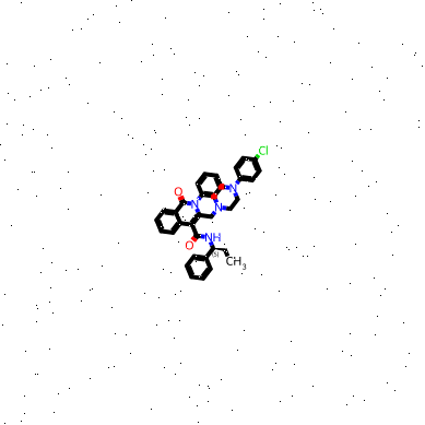 CC[C@H](NC(=O)c1c(CN2CCN(c3ccc(Cl)cc3)CC2)n(-c2ccccc2)c(=O)c2ccccc12)c1ccccc1